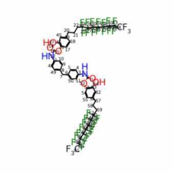 O=C(Nc1ccc(Cc2ccc(NC(=O)Oc3ccc(CCCC(F)(F)C(F)(F)C(F)(F)C(F)(F)C(F)(F)C(F)(F)C(F)(F)C(F)(F)F)cc3O)cc2)cc1)Oc1ccc(CCCC(F)(F)C(F)(F)C(F)(F)C(F)(F)C(F)(F)C(F)(F)C(F)(F)C(F)(F)F)cc1O